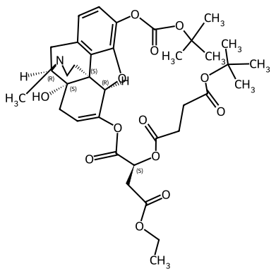 CCOC(=O)C[C@H](OC(=O)CCC(=O)OC(C)(C)C)C(=O)OC1=CC[C@@]2(O)[C@H]3Cc4ccc(OC(=O)OC(C)(C)C)c5c4[C@@]2(CCN3C)[C@H]1O5